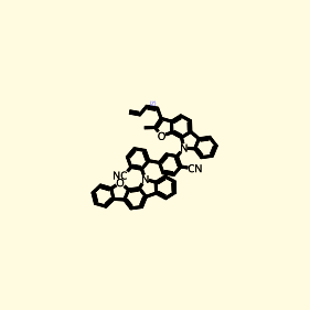 C=C/C=C\c1c(C)oc2c1ccc1c3ccccc3n(-c3cc(-c4cccc(C#N)c4-n4c5ccccc5c5ccc6c7ccccc7oc6c54)ccc3C#N)c12